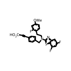 COc1ccc(CCN(Cc2ccc(C#CC(=O)O)cc2)c2nc3cc(F)cc(F)c3s2)c(F)c1